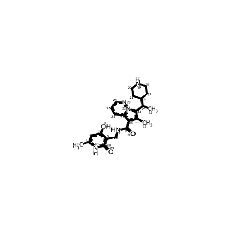 Cc1cc(O)c(CNC(=O)c2c(C)c(C(C)C3CCNCC3)n3ncccc23)c(=O)[nH]1